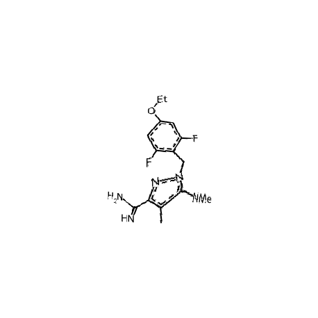 CCOc1cc(F)c(Cn2nc(C(=N)N)c(C)c2NC)c(F)c1